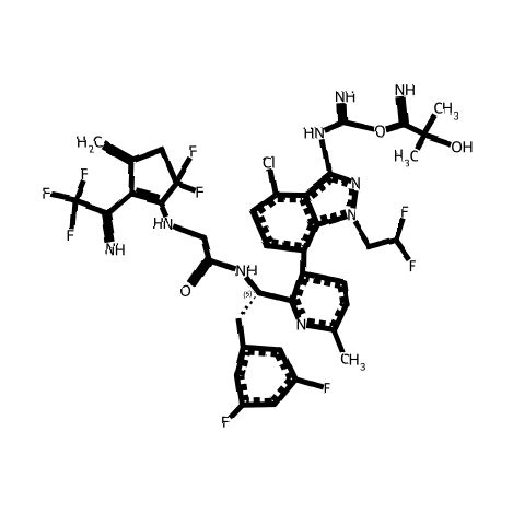 C=C1CC(F)(F)C(NCC(=O)N[C@@H](Cc2cc(F)cc(F)c2)c2nc(C)ccc2-c2ccc(Cl)c3c(NC(=N)OC(=N)C(C)(C)O)nn(CC(F)F)c23)=C1C(=N)C(F)(F)F